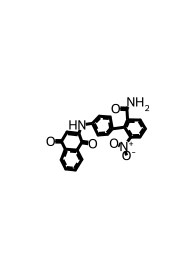 NC(=O)c1cccc([N+](=O)[O-])c1-c1ccc(NC2=CC(=O)c3ccccc3C2=O)cc1